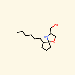 CCCCCCC1CCCC12NC(CO)CO2